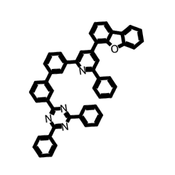 c1ccc(-c2cc(-c3cccc4c3oc3ccccc34)cc(-c3cccc(-c4cccc(-c5nc(-c6ccccc6)nc(-c6ccccc6)n5)c4)c3)n2)cc1